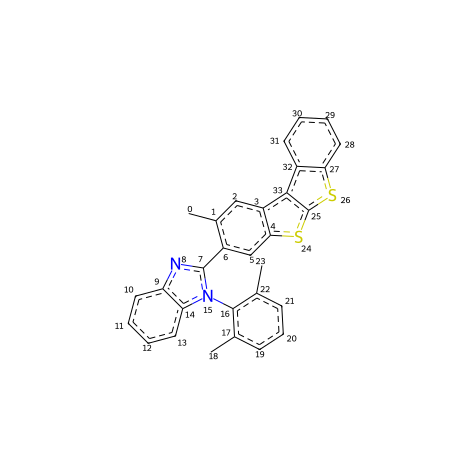 Cc1cc2c(cc1-c1nc3ccccc3n1-c1c(C)cccc1C)sc1sc3ccccc3c12